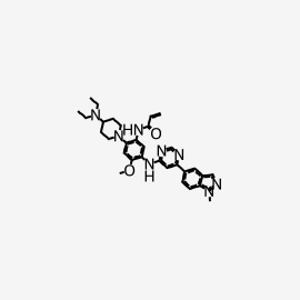 C=CC(=O)Nc1cc(Nc2cc(-c3ccc4c(cnn4C)c3)ncn2)c(OC)cc1N1CCC(N(CC)CC)CC1